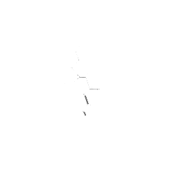 CCCC(C)CC(C)C=CC=O